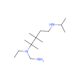 CCN(CN)C(C)(C)C(C)(C)CCNC(C)C